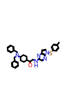 Cc1ccc(Sn2ccc3nc(NCC(=O)C4CCC(N(Cc5ccccc5)Cc5ccccc5)CC4)cnc32)cc1